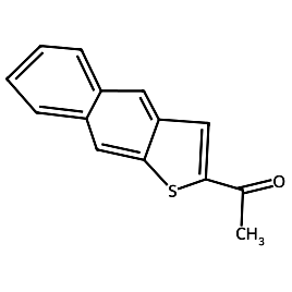 CC(=O)c1cc2cc3ccccc3cc2s1